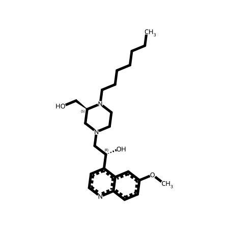 CCCCCCCN1CCN(C[C@H](O)c2ccnc3ccc(OC)cc23)C[C@H]1CO